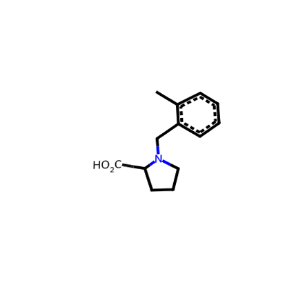 Cc1ccccc1CN1CCCC1C(=O)O